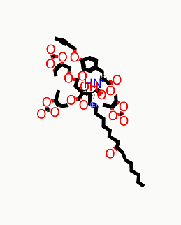 CC#CCOc1ccc(C[C@H](NC(=O)[C@@H](/C=C/CCCCCCC(=O)CCCCCCC)[C@@](O)(CC(=O)OCc2oc(=O)oc2C)C(=O)OCc2oc(=O)oc2C)C(=O)OCc2oc(=O)oc2C)cc1